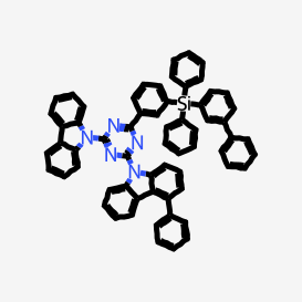 c1ccc(-c2cccc([Si](c3ccccc3)(c3ccccc3)c3cccc(-c4nc(-n5c6ccccc6c6ccccc65)nc(-n5c6ccccc6c6c(-c7ccccc7)cccc65)n4)c3)c2)cc1